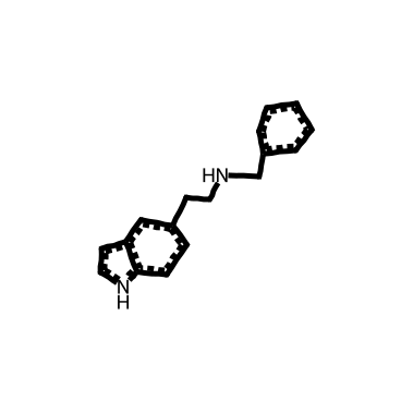 c1ccc(CNCCc2ccc3[nH]ccc3c2)cc1